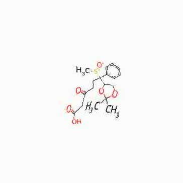 C[S+]([O-])C(CCC(=O)CC(=O)O)(c1ccccc1)C1COC(C)(C)O1